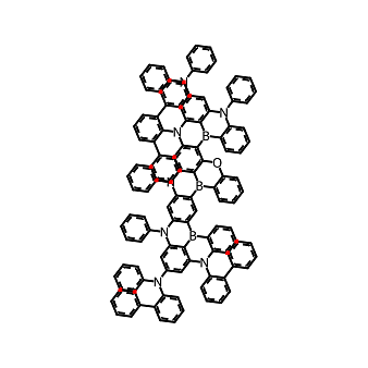 c1ccc(-c2ccccc2N(c2ccccc2)c2cc3c4c(c2)N(c2ccccc2-c2ccccc2)c2ccccc2B4c2cc4c(cc2N3c2ccccc2)N(c2ccccc2)c2cc3c(c5c2B4c2ccccc2O5)B2c4ccccc4N(c4ccccc4)c4cc(N(c5ccccc5)c5ccccc5)cc(c42)N3c2c(-c3ccccc3)cccc2-c2ccccc2)cc1